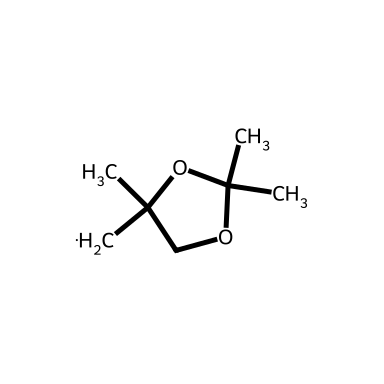 [CH2]C1(C)COC(C)(C)O1